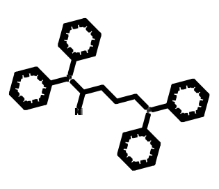 [Ni][CH](CCCP(c1ccccc1)c1ccccc1)P(c1ccccc1)c1ccccc1